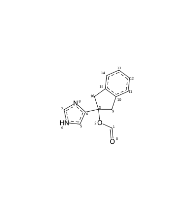 O=COC1(c2c[nH]cn2)Cc2ccccc2C1